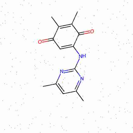 CC1=C(C)C(=O)C(Nc2nc(C)cc(C)n2)=CC1=O